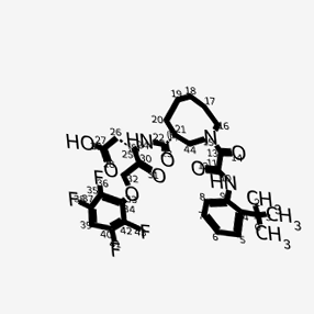 CC(C)(C)c1ccccc1NC(=O)C(=O)N1CCCCC[C@@H](C(=O)N[C@@H](CC(=O)O)C(=O)COc2c(F)c(F)cc(F)c2F)C1